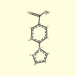 CC(C)(C)C(=O)c1ccc(-n2cccn2)nc1